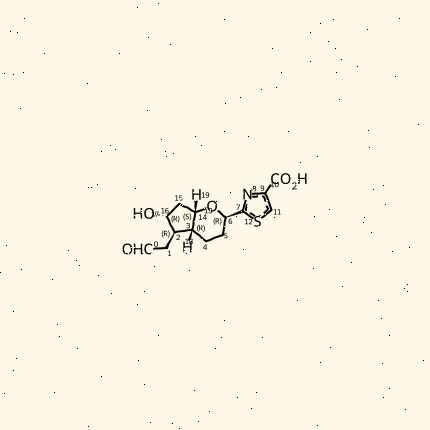 O=CC[C@@H]1[C@H]2CC[C@H](c3nc(C(=O)O)cs3)O[C@H]2C[C@H]1O